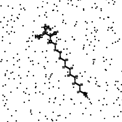 C=C(C)C(=O)OCCCCCCCCCCCCBr